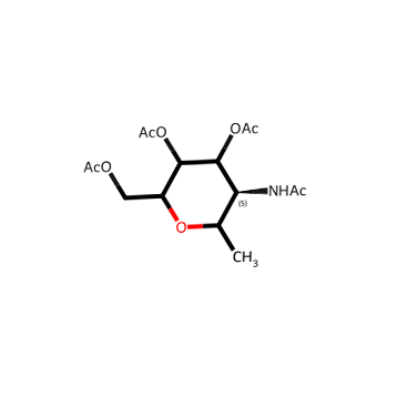 CC(=O)N[C@H]1C(C)OC(COC(C)=O)C(OC(C)=O)C1OC(C)=O